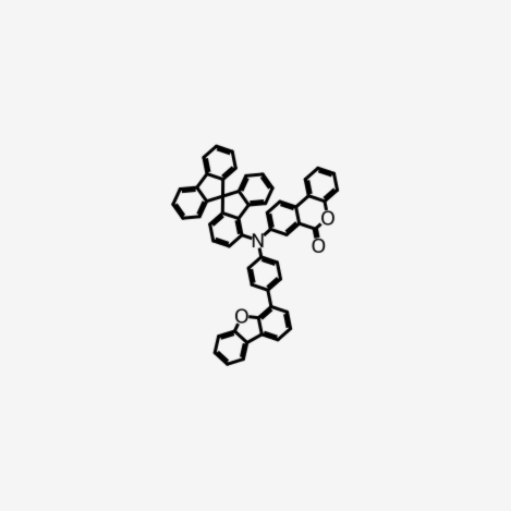 O=c1oc2ccccc2c2ccc(N(c3ccc(-c4cccc5c4oc4ccccc45)cc3)c3cccc4c3-c3ccccc3C43c4ccccc4-c4ccccc43)cc12